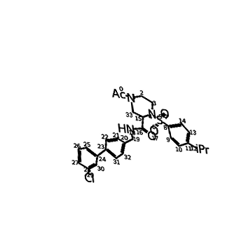 CC(=O)N1CCN(S(=O)(=O)c2ccc(C(C)C)cc2)C(C(=O)NCc2ccc(-c3cccc(Cl)c3)cc2)C1